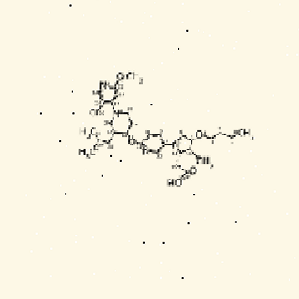 CCCCO[C@H]1CN(c2ccc(OC3CCN(c4cc(OC)ncc4Cl)CC3CC(C)C)nc2)[C@@H](CC(=O)O)[C@@H]1C